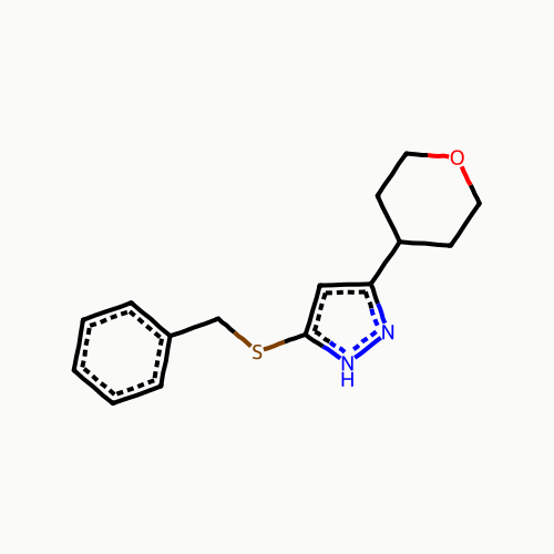 c1ccc(CSc2cc(C3CCOCC3)n[nH]2)cc1